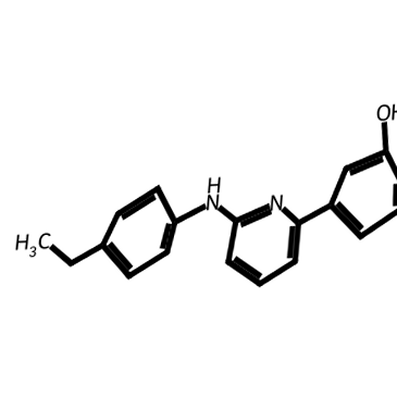 CCc1ccc(Nc2cccc(-c3cccc(O)c3)n2)cc1